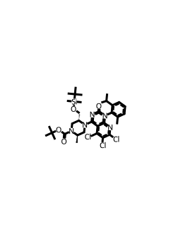 Cc1cccc(C(C)C)c1-n1c(=O)nc(N2C[C@@H](C)N(C(=O)OC(C)(C)C)C[C@@H]2CO[Si](C)(C)C(C)(C)C)c2c(Cl)c(Cl)c(Cl)nc21